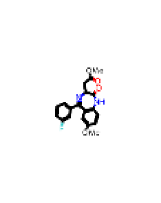 COC(=O)CC1N=C(c2cccc(F)c2)c2cc(OC)ccc2NC1=O